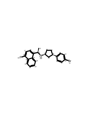 C[C@@H](N[C@H]1CC[C@@H](c2ccc(Br)cc2)C1)c1ccc(F)c2ccccc12